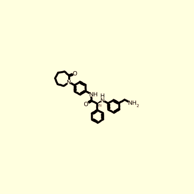 NCc1cccc(N[C@H](C(=O)Nc2ccc(N3CCCCCC3=O)cc2)c2ccccc2)c1